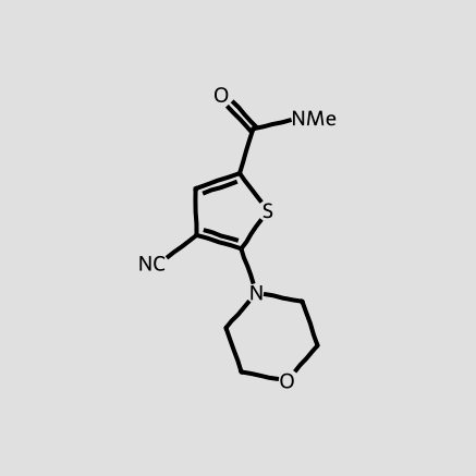 CNC(=O)c1cc(C#N)c(N2CCOCC2)s1